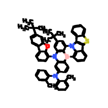 Cc1ccccc1N(c1ccc2c(c1)N(c1cccc3c1oc1cc(C(C)(C)C)ccc13)c1cc(C(C)(C)C)cc3c1B2c1cccc2c4sc5ccccc5c4n-3c12)c1ccccc1C